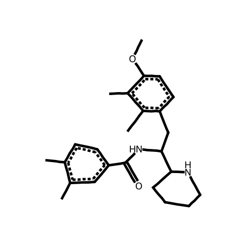 COc1ccc(CC(NC(=O)c2ccc(C)c(C)c2)C2CCCCN2)c(C)c1C